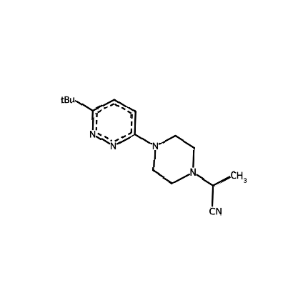 CC(C#N)N1CCN(c2ccc(C(C)(C)C)nn2)CC1